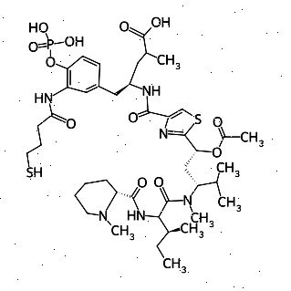 CC[C@H](C)C(NC(=O)[C@H]1CCCCN1C)C(=O)N(C)[C@H](C[C@@H](OC(C)=O)c1nc(C(=O)N[C@@H](Cc2ccc(OP(=O)(O)O)c(NC(=O)CCCS)c2)CC(C)C(=O)O)cs1)C(C)C